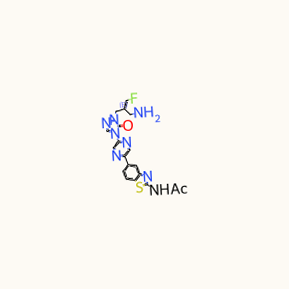 CC(=O)Nc1nc2cc(-c3cnc(-n4cnn(C/C(=C/F)CN)c4=O)cn3)ccc2s1